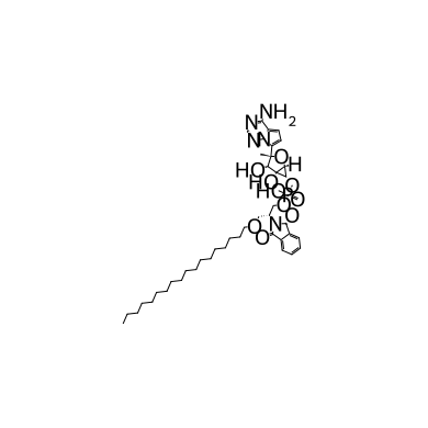 CCCCCCCCCCCCCCCCCCOC[C@H](COP(=O)(O)OC1[C@H]2O[C@@](C)(c3ccc4c(N)ncnn34)[C@H](O)[C@@]12O)N1C(=O)c2ccccc2C1=O